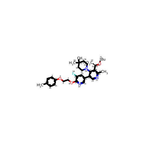 Cc1ccc(OCCOc2ncc(-c3cnc(C)c([C@H](OC(C)(C)C)C(=O)O)c3N3CCC(C)(C)CC3)cc2F)cc1